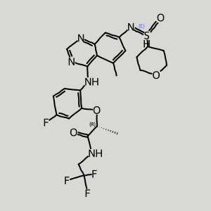 Cc1cc(/N=[SH](=O)\C2CCOCC2)cc2ncnc(Nc3ccc(F)cc3O[C@H](C)C(=O)NCC(F)(F)F)c12